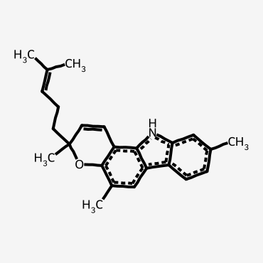 CC(C)=CCCC1(C)C=Cc2c(c(C)cc3c2[nH]c2cc(C)ccc23)O1